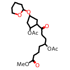 COC(=O)CCCC(CCC(=O)C1CC(OC2CCCCO2)CC1OC(C)=O)OC(C)=O